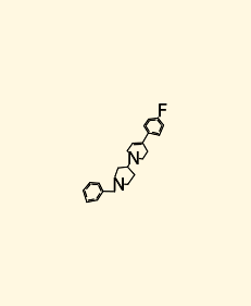 Fc1ccc(C2=CCN(C3CCN(Cc4ccccc4)CC3)CC2)cc1